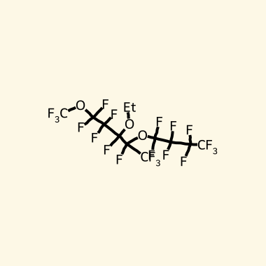 CCOC(F)(C(F)(F)C(F)(F)OC(F)(F)F)C(F)(OC(F)(F)C(F)(F)C(F)(F)C(F)(F)F)C(F)(F)F